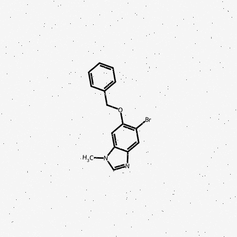 Cn1[c]nc2cc(Br)c(OCc3ccccc3)cc21